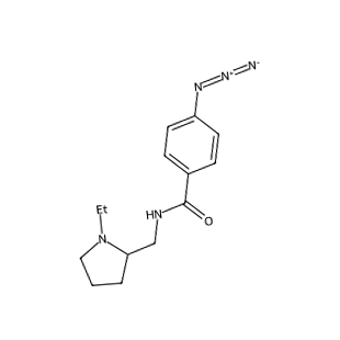 CCN1CCCC1CNC(=O)c1ccc(N=[N+]=[N-])cc1